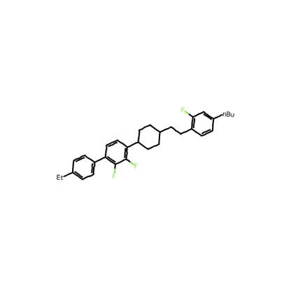 CCCCc1ccc(CCC2CCC(c3ccc(-c4ccc(CC)cc4)c(F)c3F)CC2)c(F)c1